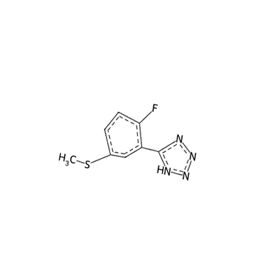 CSc1ccc(F)c(-c2nnn[nH]2)c1